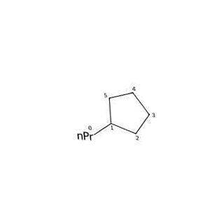 CCCC1CCCC1